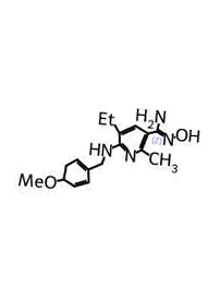 CCc1cc(/C(N)=N/O)c(C)nc1NCC1=CCC(OC)C=C1